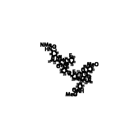 CNC(=O)Nc1ccc(-n2nc3c(c2CN(C)C)c(=O)n(-c2cccc(OCc4ccc(F)c(Cn5c(=O)n(-c6cccc(OC)c6F)c(=O)c6c(CN(C)C)n(-c7ccc(NC(=O)OC)cc7)nc65)c4F)c2F)c(=O)n3Cc2c(F)cccc2F)cc1